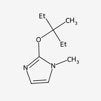 CCC(C)(CC)Oc1nccn1C